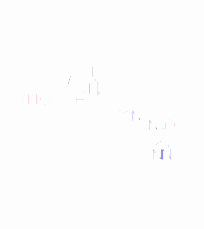 C[C@H](CCC(=O)N1CCN(C(=O)c2cnn(C)c2)CC1)[C@H]1CC[C@H]2[C@@H]3CC=C4C[C@@H](O)CC[C@]4(C)[C@H]3CC[C@]12C